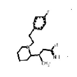 [CH2]C(CC(=N)CC)C1CCCCN1CCc1ccc(F)cc1